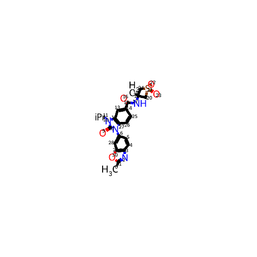 Cc1nc2ccc(-n3c(=O)n(C(C)C)c4cc(C(=O)NC5(C)CS(=O)(=O)C5)ccc43)cc2o1